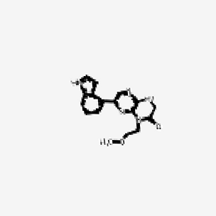 COCCN1C(=O)CNc2ncc(-c3cccc4[nH]ccc34)nc21